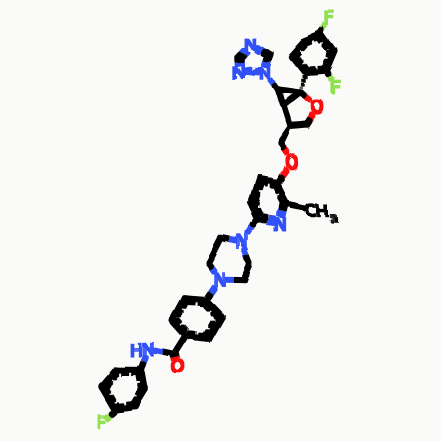 Cc1nc(N2CCN(c3ccc(C(=O)Nc4ccc(F)cc4)cc3)CC2)ccc1OC[C@@H]1CO[C@@]2(c3ccc(F)cc3F)C1C2n1cncn1